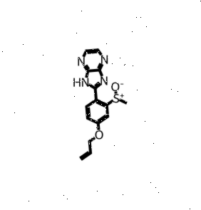 C=CCOc1ccc(-c2nc3nccnc3[nH]2)c([S+](C)[O-])c1